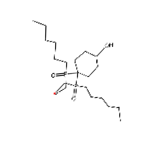 CCCCCCP(=O)(CC)C1(P(=O)(CC)CCCCCC)CCC(O)CC1